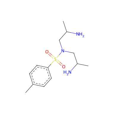 Cc1ccc(S(=O)(=O)N(CC(C)N)CC(C)N)cc1